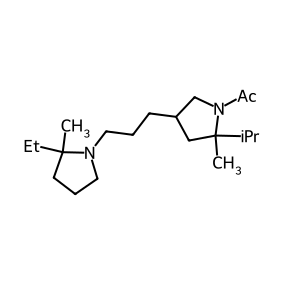 CCC1(C)CCCN1CCCC1CN(C(C)=O)C(C)(C(C)C)C1